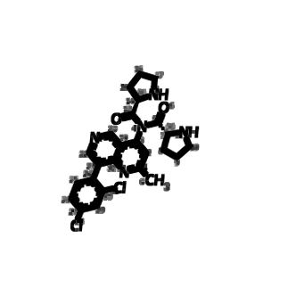 Cc1cc(N(C(=O)[C@H]2CCCN2)C(=O)[C@H]2CCCN2)c2cncc(-c3ccc(Cl)cc3Cl)c2n1